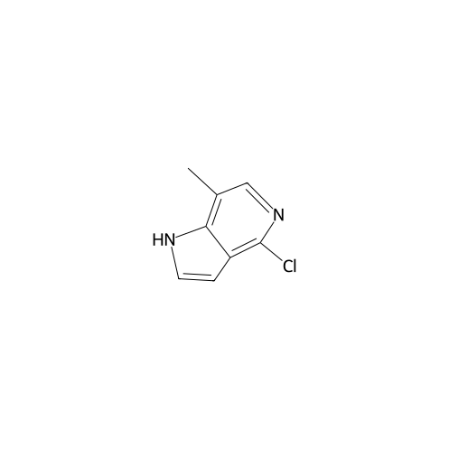 Cc1cnc(Cl)c2cc[nH]c12